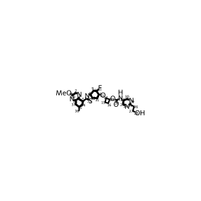 COc1cnc2c(-c3nc4cc(F)c(O[C@@H]5CC[C@@H]5OC(=O)Nc5cnc(CCO)nc5)cc4s3)cc(C)cc2n1